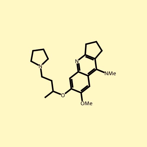 CNc1c2c(nc3cc(OC(C)CCN4CCCC4)c(OC)cc13)CCC2